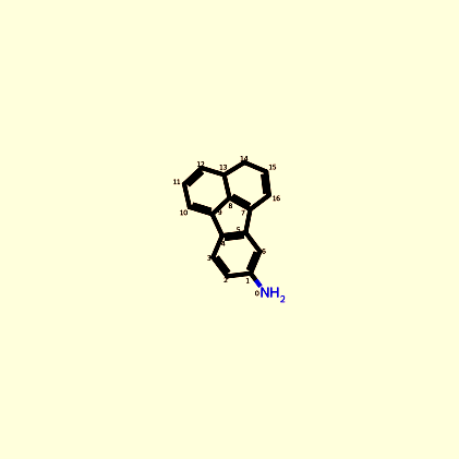 Nc1ccc2c(c1)C1=C3C2=CC=CC3CC=C1